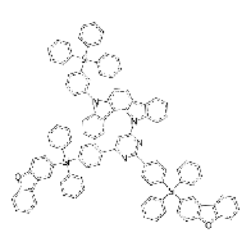 c1ccc([Si](c2ccccc2)(c2ccccc2)c2cccc(-n3c4ccccc4c4c3ccc3c5ccccc5n(-c5cc(-c6ccc([Si](c7ccccc7)(c7ccccc7)c7ccc8oc9ccccc9c8c7)cc6)nc(-c6ccc([Si](c7ccccc7)(c7ccccc7)c7ccc8oc9ccccc9c8c7)cc6)n5)c34)c2)cc1